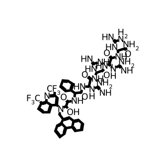 N=C(N)NC(NC(=O)C(NC(=N)N)NC(=O)C(NC(=N)N)NC(=O)C(NC(=N)N)NC(=O)C(NC(=O)C(O)N(Cc1cc2ccccc2c2ccccc12)c1cc(C(F)(F)F)nc2c(C(F)(F)F)cccc12)c1ccccc1)C(N)=O